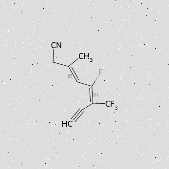 C#C/C(=C(F)\C=C(/C)CC#N)C(F)(F)F